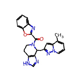 Cc1cccn2nc(C3c4nc[nH]c4CCN3C(=O)c3nc4ccccc4o3)cc12